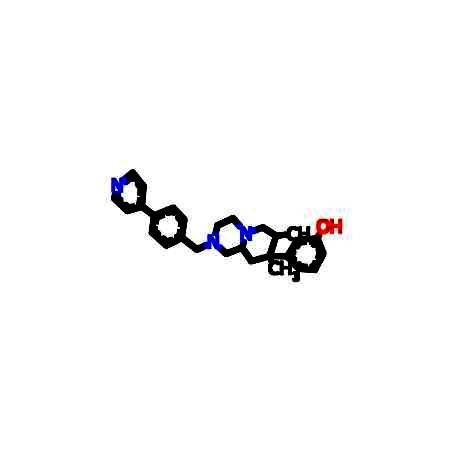 CC1CN2CCN(Cc3ccc(-c4ccncc4)cc3)CC2CC1(C)c1cccc(O)c1